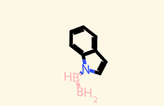 BBn1ccc2ccccc21